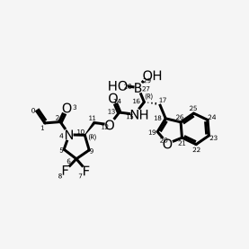 C=CC(=O)N1CC(F)(F)C[C@@H]1COC(=O)N[C@@H](Cc1coc2ccccc12)B(O)O